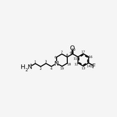 NCCCCN1CCC(C(=O)c2ccc(F)cc2)CC1